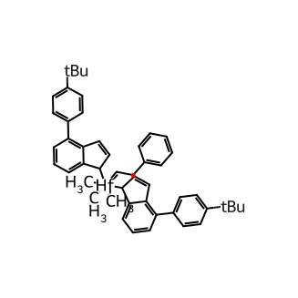 CC(C)(C)c1ccc(-c2cccc3c2C=C[CH]3[Hf]([CH3])([CH3])([CH3])(=[CH]Cc2ccccc2)[CH]2C=Cc3c(-c4ccc(C(C)(C)C)cc4)cccc32)cc1